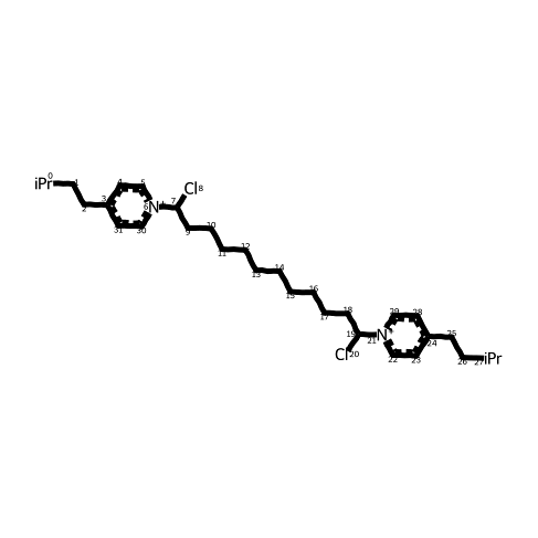 CC(C)CCc1cc[n+](C(Cl)CCCCCCCCCCC(Cl)[n+]2ccc(CCC(C)C)cc2)cc1